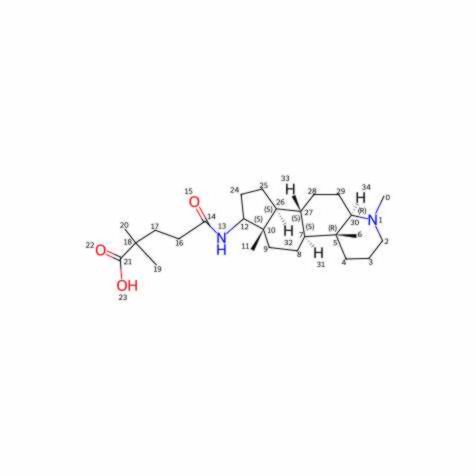 CN1CCC[C@]2(C)[C@H]3CC[C@]4(C)C(NC(=O)CCC(C)(C)C(=O)O)CC[C@H]4[C@@H]3CC[C@@H]12